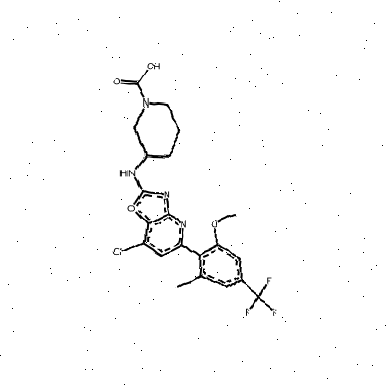 COc1cc(C(F)(F)F)cc(C)c1-c1cc(Cl)c2oc(NC3CCCN(C(=O)O)C3)nc2n1